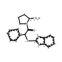 O=C(O)[C@@H]1CCCN1C(=O)C(Sc1nc2ccccc2s1)c1ccccc1